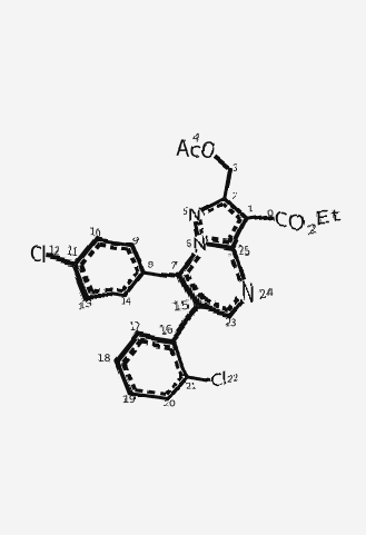 CCOC(=O)c1c(COC(C)=O)nn2c(-c3ccc(Cl)cc3)c(-c3ccccc3Cl)cnc12